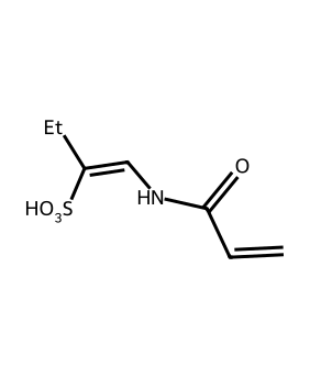 C=CC(=O)NC=C(CC)S(=O)(=O)O